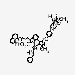 CCOC(=O)c1c(CCCOc2cccc3ccccc23)c2cccc(-c3c(COc4ccc(N5CCN(S(=O)(=O)N(C)C)CC5)cc4)nn(C)c3CBr)c2n1CCCNCc1ccccc1